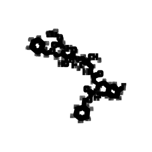 CC(C)(CNC(=O)C[C@@H](Cc1cc(F)ccc1F)NC(=O)OCc1ccccc1)CNC(=O)[C@@H](O)[C@@H](COCc1ccccc1)NC(=O)OC(C)(C)C